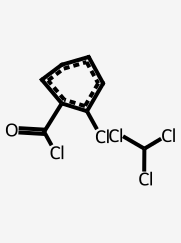 ClC(Cl)Cl.O=C(Cl)c1ccccc1Cl